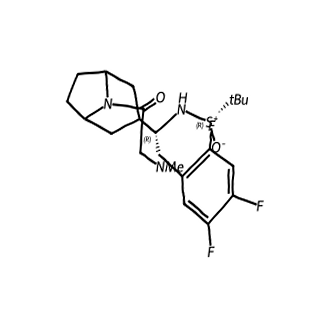 CNCC(=O)N1C2CCC1CC([C@@H](Cc1cc(F)c(F)cc1F)N[S@@+]([O-])C(C)(C)C)C2